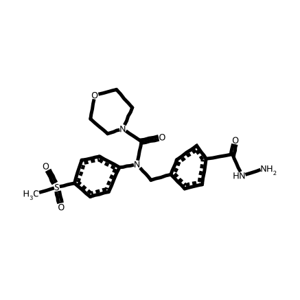 CS(=O)(=O)c1ccc(N(Cc2ccc(C(=O)NN)cc2)C(=O)N2CCOCC2)cc1